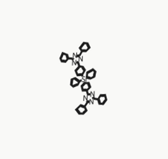 c1ccc(-c2nc(-c3ccccc3)nc(-c3ccc([Si](c4ccccc4)(c4ccccc4)c4ccc(-c5nc(-c6ccccc6)nc(-c6ccccc6)n5)cc4)cc3)n2)cc1